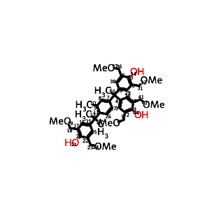 COCc1cc(C(C)(C2=CC(C)C(C(C)(C)c3cc(COC)c(O)c(COC)c3)C=C2)c2cc(COC)c(O)c(COC)c2)cc(COC)c1O